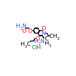 CCCCOc1c(CN)n(CC(C)C)c(=O)c2ccc(OCC(N)=O)cc12.Cl